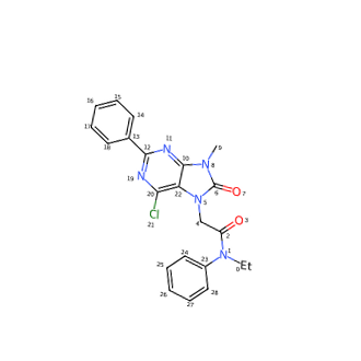 CCN(C(=O)Cn1c(=O)n(C)c2nc(-c3ccccc3)nc(Cl)c21)c1ccccc1